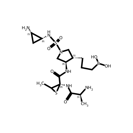 CC1S[C@]1(NC(=O)[C@H](C)N)C(=O)N[C@H]1CN(S(=O)(=O)N[C@@H]2C[C@@H]2N)C[C@@H]1CCCB(O)O